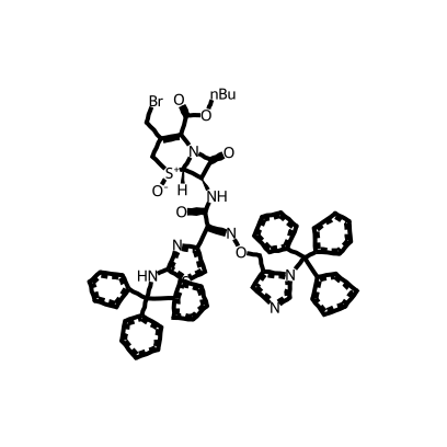 CCCCOC(=O)C1=C(CBr)C[S+]([O-])[C@H]2[C@H](NC(=O)C(=NOCc3cncn3C(c3ccccc3)(c3ccccc3)c3ccccc3)c3csc(NC(c4ccccc4)(c4ccccc4)c4ccccc4)n3)C(=O)N12